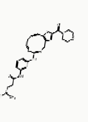 CN(C)CCC(=O)Nc1cccc(NC2=N/Cc3cc(C(=O)N4CCOCC4)sc3/C=C\C/C=N\2)c1